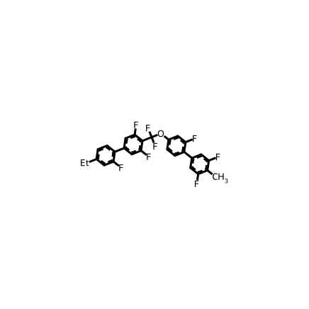 CCc1ccc(-c2cc(F)c(C(F)(F)Oc3ccc(-c4cc(F)c(C)c(F)c4)c(F)c3)c(F)c2)c(F)c1